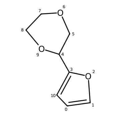 c1coc(C2COCCO2)c1